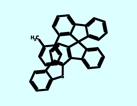 Cc1ccccc1-c1cccc2c1C1(c3ccccc3-2)c2ccccc2-c2c1ccc1c2sc2ccccc21